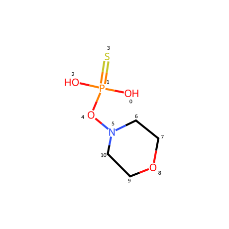 OP(O)(=S)ON1CCOCC1